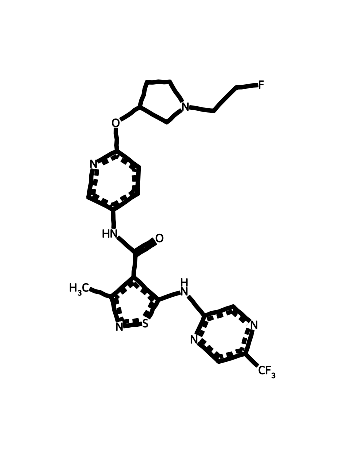 Cc1nsc(Nc2cnc(C(F)(F)F)cn2)c1C(=O)Nc1ccc(OC2CCN(CCF)C2)nc1